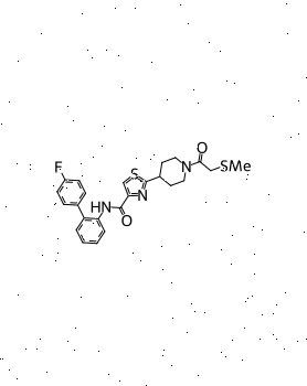 CSCC(=O)N1CCC(c2nc(C(=O)Nc3ccccc3-c3ccc(F)cc3)cs2)CC1